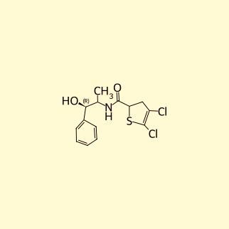 CC(NC(=O)C1CC(Cl)=C(Cl)S1)[C@H](O)c1ccccc1